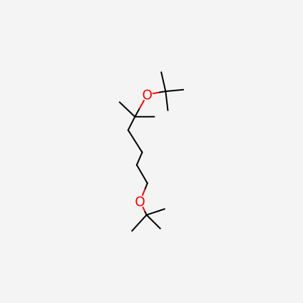 CC(C)(C)OCCCCC(C)(C)OC(C)(C)C